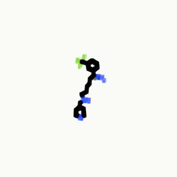 N[C@@H](CCCCCNCc1ccncc1)c1cccc(C(F)(F)F)c1